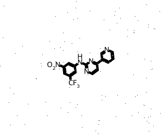 O=[N+]([O-])c1cc(Nc2nccc(-c3cccnc3)n2)cc(C(F)(F)F)c1